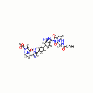 COC(=O)N[C@@H](C)C(=O)N1CCC[C@H]1C(=O)Nc1n[nH]c2cc(-c3ccc(-c4cnc([C@@H]5CCCN5C(=O)[C@H](C)NC5OCO5)[nH]4)cc3)ccc12